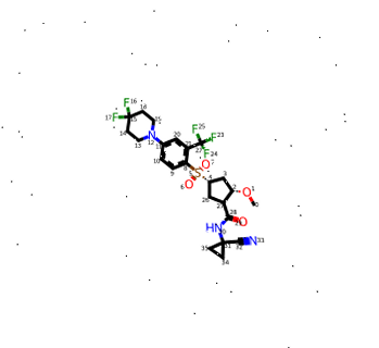 CO[C@H]1C[C@@H](S(=O)(=O)c2ccc(N3CCC(F)(F)CC3)cc2C(F)(F)F)CC1C(=O)NC1(C#N)CC1